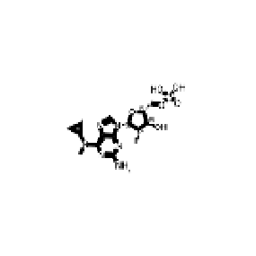 CN(c1nc(N)nc2c1ncn2[C@@H]1O[C@H](COP(=O)(O)O)[C@@H](O)[C@@H]1F)C1CC1